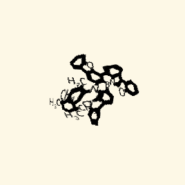 Cc1cc2c(cc1N1c3cc4c(oc5ccccc54)c4c3B(c3ccc5c(oc6ccccc65)c31)n1c3oc5ccccc5c3c3cccc-4c31)C(C)(C)CCC2(C)C